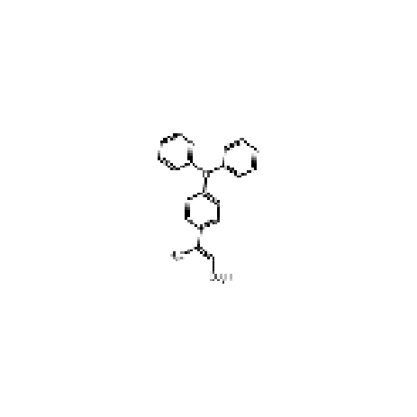 CC(=CC(=O)O)c1ccc(N(c2ccccc2)c2ccccc2)cc1